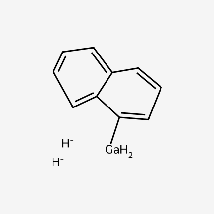 [GaH2][c]1cccc2ccccc12.[H-].[H-]